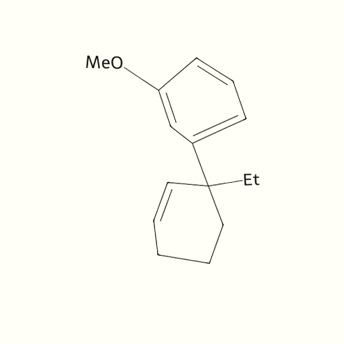 [CH2]CC1(c2cccc(OC)c2)C=CCCC1